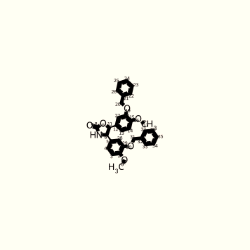 COc1ccc([C@H]2NC(=O)O[C@H]2c2ccc(OC)c(OCc3ccccc3)c2)cc1OCc1ccccc1